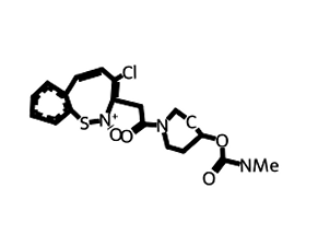 CNC(=O)OC1CCN(C(=O)C/C2=C(Cl)/C=C\c3ccccc3S[N+]2=O)CC1